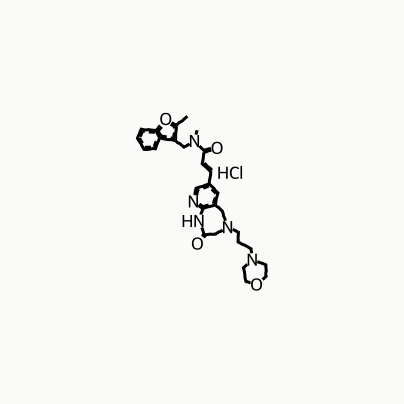 Cc1oc2ccccc2c1CN(C)C(=O)/C=C/c1cnc2c(c1)CN(CCCN1CCOCC1)CC(=O)N2.Cl